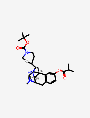 CC(C)C(=O)Oc1ccc2c(c1)[C@@]1(C)CCN(C)C(C2)[C@H]1NCC1CCN(C(=O)OC(C)(C)C)CC1